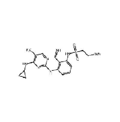 COCCS(=O)(=O)Nc1cccc(Nc2ncc(C(F)(F)F)c(NC3CC3)n2)c1C=N